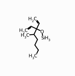 C=CC(C=C)(O[SiH3])C(C)CCCC